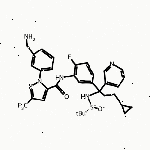 CC(C)(C)[S@@+]([O-])NC(CCC1CC1)(c1cccnc1)c1ccc(F)c(NC(=O)c2cc(C(F)(F)F)nn2-c2cccc(CN)c2)c1